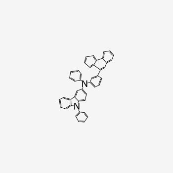 c1ccc(N(c2cccc(-c3cc4ccccc4c4ccccc34)c2)c2ccc3c(c2)c2ccccc2n3-c2ccccc2)cc1